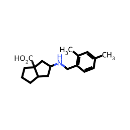 Cc1ccc(CNC2CC3CCCC3(C(=O)O)C2)c(C)c1